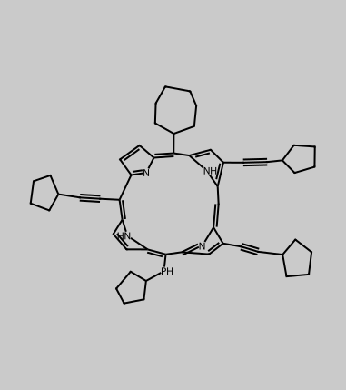 C(#CC1CCCC1)C1=Cc2nc1cc1[nH]c(cc1C#CC1CCCC1)c(C1CCCCCC1)c1nc(c(C#CC3CCCC3)c3ccc([nH]3)c2PC2CCCC2)C=C1